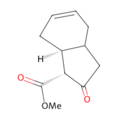 COC(=O)[C@H]1C(=O)CC2CC=CC[C@@H]21